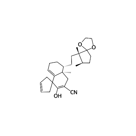 C[C@@H]1CCC2(OCCO2)[C@@]1(C)CC[C@H]1CCC=C2C3(CC=CC3)C(O)=C(C#N)C[C@@]21C